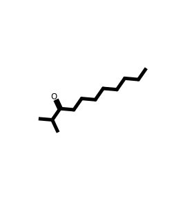 CCCCCCCCC(=O)C(C)C